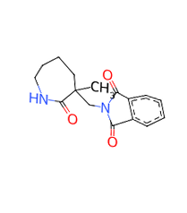 CC1(CN2C(=O)c3ccccc3C2=O)CCCCNC1=O